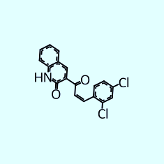 O=C(/C=C\c1ccc(Cl)cc1Cl)c1cc2ccccc2[nH]c1=O